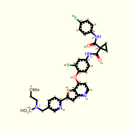 COCCN(Cc1ccc(-c2cc3nccc(Oc4ccc(NC(=O)C5(C(=O)Nc6ccc(F)cc6)CC5)cc4F)c3s2)nc1)C(=O)O